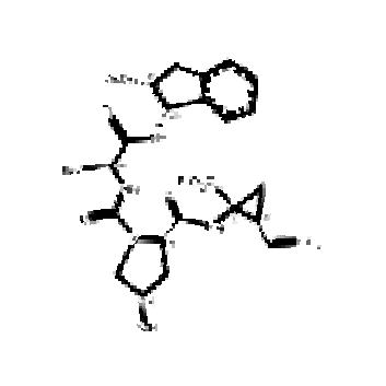 C=C[C@@H]1C[C@]1(NC(=O)[C@@H]1C[C@@H](O)CN1C(=O)N[C@H](C(=O)N[C@H]1c2ccccc2C[C@H]1OC(C)=O)C(C)(C)C)C(=O)OCC